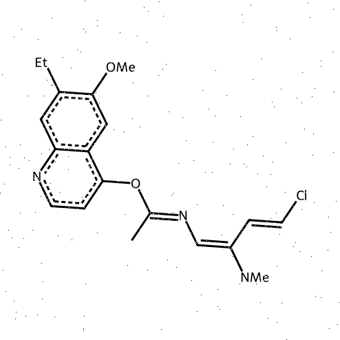 CCc1cc2nccc(O/C(C)=N/C=C(\C=C\Cl)NC)c2cc1OC